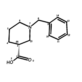 O=C(O)[C@@H]1CCCN(Cc2ccccc2)C1